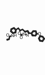 C=CC(=O)Nc1cccc(CC(Cc2cc(-c3ccc(Oc4ccccc4)cc3)n[nH]2)OC=O)c1